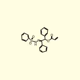 C=CC(=O)OC(/C(=N/NS(=O)(=O)c1ccccc1)c1ccccc1)c1ccccc1